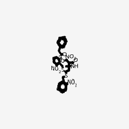 CC1(CC(SCc2ccccc2[N+](=O)[O-])SCc2ccccc2[N+](=O)[O-])NC(=O)C1C(OOC(=O)Cc1ccccc1)[N+](=O)[O-]